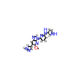 COc1nc2c(cc1-c1cnn(C)c1)ncn2-c1cccc(NC2CCNC2)n1